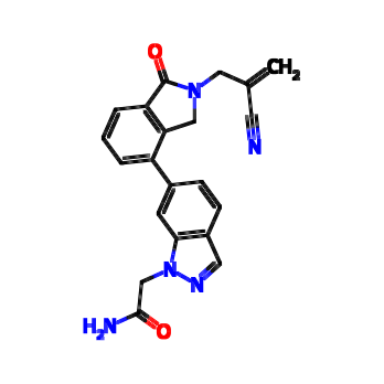 C=C(C#N)CN1Cc2c(cccc2-c2ccc3cnn(CC(N)=O)c3c2)C1=O